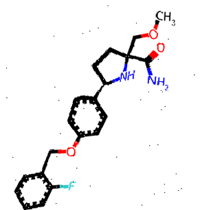 COCC1(C(N)=O)CC[C@H](c2ccc(OCc3ccccc3F)cc2)N1